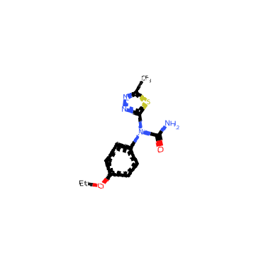 CCOc1ccc(N(C(N)=O)c2nnc(C(F)(F)F)s2)cc1